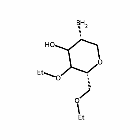 B[C@@H]1CO[C@H](COCC)C(OCC)C1O